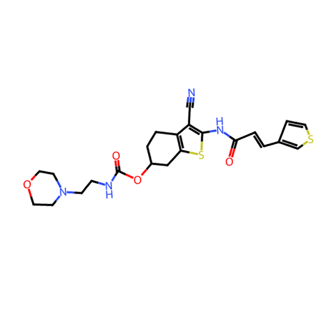 N#Cc1c(NC(=O)C=Cc2ccsc2)sc2c1CCC(OC(=O)NCCN1CCOCC1)C2